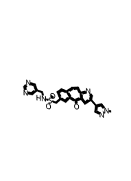 Cn1cc(-c2cnc3ccc4ccc(CS(=O)(=O)NCc5cncnc5)cc4c(=O)c3c2)cn1